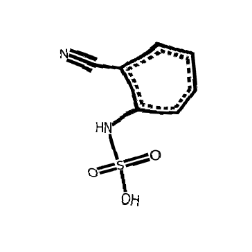 N#Cc1ccccc1NS(=O)(=O)O